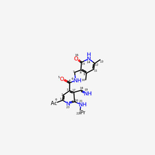 CC(=O)c1cc(C(=O)NCc2c(C)cc(C)[nH]c2=O)c(C=N)c(NC(C)C)n1